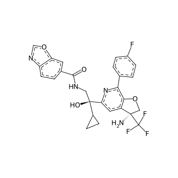 N[C@@]1(C(F)(F)F)COc2c1cc([C@@](O)(CNC(=O)c1ccc3ncoc3c1)C1CC1)nc2-c1ccc(F)cc1